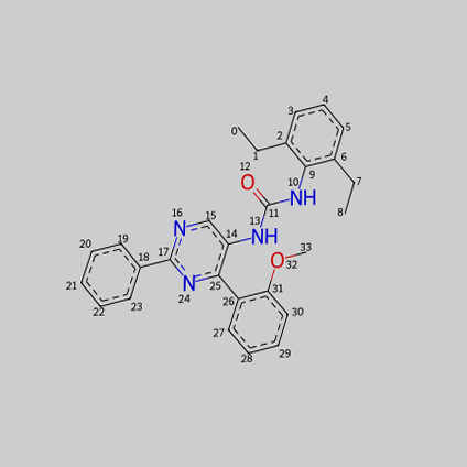 CCc1cccc(CC)c1NC(=O)Nc1cnc(-c2ccccc2)nc1-c1ccccc1OC